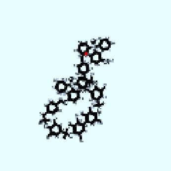 Cc1cc(C(C)(C)Oc2c(C)cc(-c3cc(C)c(OC(C)(C)c4cc(C)c(OC(C)(C)Cc5ccc(COc6ccc(O)cc6P(=O)(c6ccccc6)c6ccccc6)cc5)c(C)c4)c(C)c3C)c(C)c2C)cc(C)c1OC(C)(C)Cc1ccc(COc2ccc(O)c(P(=O)(c3ccccc3)c3ccccc3)c2)cc1